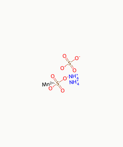 O=S(=O)([O-])[O-].O=S(=O)([O-])[O-].[Mn+2].[NH4+].[NH4+]